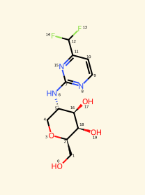 OC[C@H]1OC[C@H](Nc2nccc(C(F)F)n2)[C@@H](O)[C@H]1O